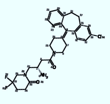 N[C@@H](CC(=O)N1CCC(=C2c3ccc(Cl)cc3CCc3cccnc32)CC1)CN1CC(F)(F)CCC1=O